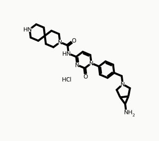 Cl.NC1C2CN(Cc3ccc(-n4ccc(NC(=O)N5CCC6(CCNCC6)CC5)nc4=O)cc3)CC12